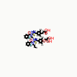 CCCCN(C(=O)c1ccccc1F)c1nnc(-c2cc(C)c(OC[C@@H](O)CO)c(C)c2)s1.CCN(C(=O)c1ccccc1F)c1nnc(-c2cc(C)c(CCC(=O)O)c(C)c2)s1